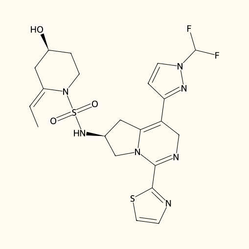 C/C=C1/C[C@@H](O)CCN1S(=O)(=O)N[C@H]1CC2=C(c3ccn(C(F)F)n3)CN=C(c3nccs3)N2C1